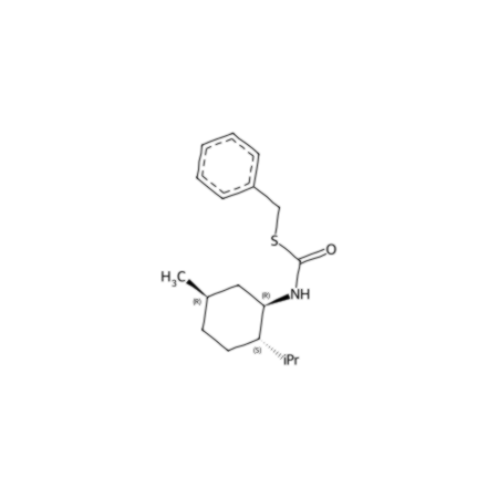 CC(C)[C@@H]1CC[C@@H](C)C[C@H]1NC(=O)SCc1ccccc1